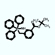 CC(C)(C)OC(=O)c1cccc(CP(N)(c2ccccc2)(c2ccccc2)c2ccccc2)c1